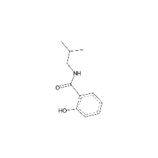 CC(C)CNC(=O)c1ccccc1O